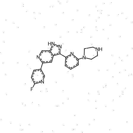 Fc1ccc(-c2cc3c(-c4cccc(N5CCNCC5)n4)n[nH]c3cn2)cn1